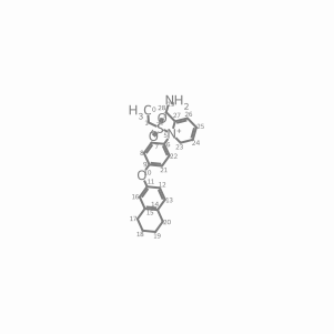 CCS(=O)(=O)[N+]1(c2ccc(Oc3ccc4c(c3)CCCC4)cc2)CC=CC=C1CN